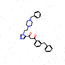 O=C(CC(=O)c1cncn1CCN1CCN(Cc2ccccc2)CC1)c1cccc(Cc2ccccc2)c1